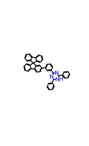 c1ccc(C2=NC(c3cccc(-c4ccc5c(c4)C4(c6ccccc6-c6ccccc64)c4ccccc4-5)c3)=NC(c3ccccc3)N2)cc1